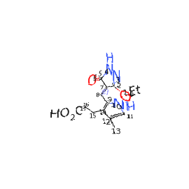 CCOC1=NNC(=O)/C1=C/c1[nH]cc(C)c1CCC(=O)O